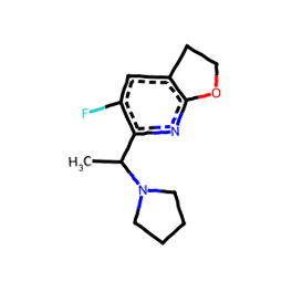 CC(c1nc2c(cc1F)CCO2)N1CCCC1